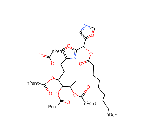 CCCCCCCCCCCCCCCCCC(=O)OC(c1cnco1)c1nc(C(CC(OC(=O)CCCCC)C(OC(=O)CCCCC)C(C)OC(=O)CCCCC)OC(=O)CCCCC)co1